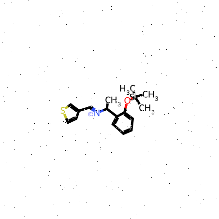 CC(/N=C/c1ccsc1)c1ccccc1O[Si](C)(C)C